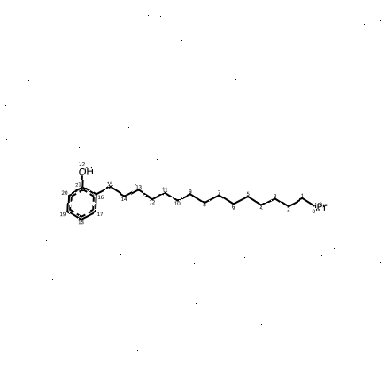 CC(C)CCCCCCCCCCCCCCCc1ccccc1O